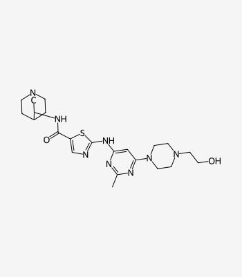 Cc1nc(Nc2ncc(C(=O)NC3CN4CCC3CC4)s2)cc(N2CCN(CCO)CC2)n1